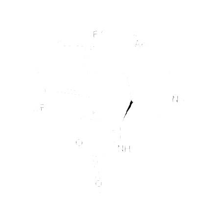 CC(=O)c1cncc([C@H]2NC(=O)O[C@@H]2c2cc(F)ccc2F)c1